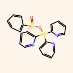 O=S(=O)(OS(c1ccccn1)(c1ccccn1)c1ccccn1)c1ccccc1